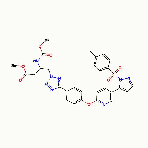 Cc1ccc(S(=O)(=O)n2nccc2-c2ccc(Oc3ccc(-c4nnn(CC(CC(=O)OC(C)(C)C)NC(=O)OC(C)(C)C)n4)cc3)nc2)cc1